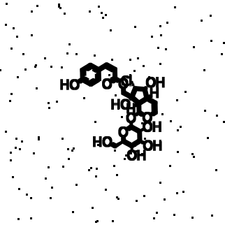 O=C(/C=C\c1ccc(O)cc1)OC[C@@]1(O)[C@H]2[C@H](O[C@@H]3O[C@H](CO)[C@@H](O)[C@H](O)[C@H]3O)OC=C[C@H]2[C@H](O)[C@H]1Cl